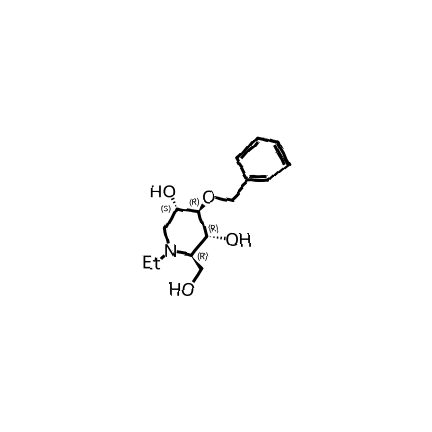 CCN1C[C@H](O)[C@@H](OCc2ccccc2)[C@H](O)[C@H]1CO